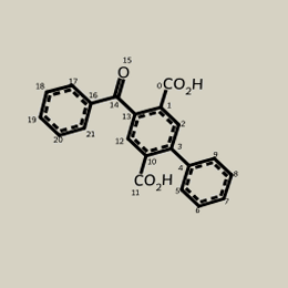 O=C(O)c1cc(-c2ccccc2)c(C(=O)O)cc1C(=O)c1ccccc1